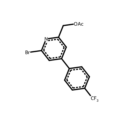 CC(=O)OCc1cc(-c2ccc(C(F)(F)F)cc2)cc(Br)n1